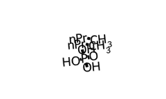 CCCC.CCCC.O=P(O)(O)O